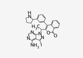 CC(c1oc(=O)c2ccccc2c1-c1cccc(C2CCCN2)c1)n1nc(I)c2c(N)ncnc21